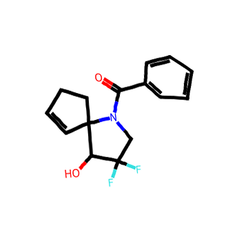 O=C(c1ccccc1)N1CC(F)(F)C(O)C12C=CCC2